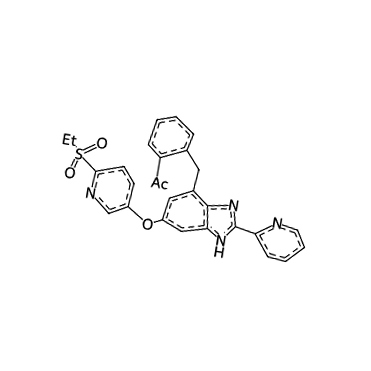 CCS(=O)(=O)c1ccc(Oc2cc(Cc3ccccc3C(C)=O)c3nc(-c4ccccn4)[nH]c3c2)cn1